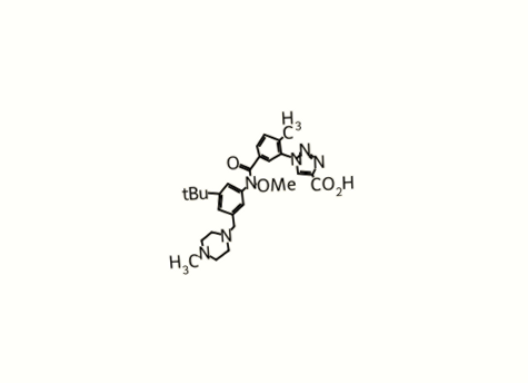 CON(C(=O)c1ccc(C)c(-n2cc(C(=O)O)nn2)c1)c1cc(CN2CCN(C)CC2)cc(C(C)(C)C)c1